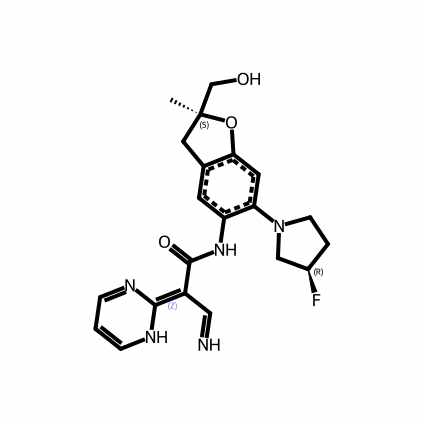 C[C@@]1(CO)Cc2cc(NC(=O)/C(C=N)=C3\N=CC=CN3)c(N3CC[C@@H](F)C3)cc2O1